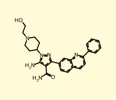 NC(=O)c1c(-c2ccc3ccc(-c4ccccc4)nc3c2)nn(C2CCN(CCO)CC2)c1N